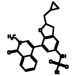 CCS(=O)(=O)Nc1cc2c(c(-c3cn(C)c(=O)c4ccccc34)c1)OC(CC1CC1)C2